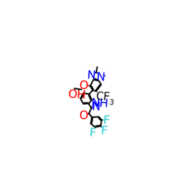 Cc1nc2c(OCCO)c(-c3cccc4c(C(=O)c5cc(F)c(F)c(F)c5)n[nH]c34)c(C(F)(F)F)cc2n1C